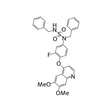 COc1cc2nccc(Oc3ccc(N(Cc4ccccc4)S(=O)(=O)NCc4ccccc4)cc3F)c2cc1OC